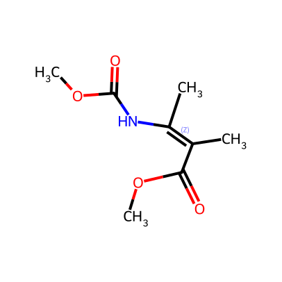 COC(=O)N/C(C)=C(/C)C(=O)OC